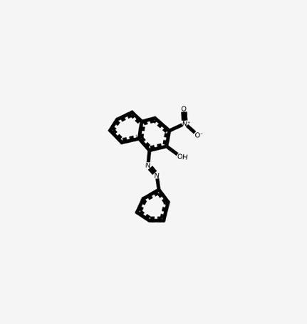 O=[N+]([O-])c1cc2ccccc2c(N=Nc2ccccc2)c1O